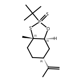 C=C(C)[C@@H]1CC[C@]2(C)SP(=S)(C(C)(C)C)O[C@H]2C1